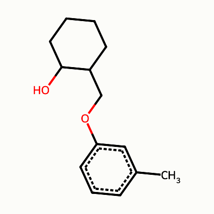 Cc1cccc(OCC2CCCCC2O)c1